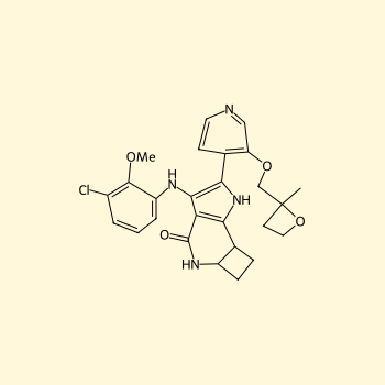 COc1c(Cl)cccc1Nc1c(-c2ccncc2OCC2(C)CCO2)[nH]c2c1C(=O)NC1CCC21